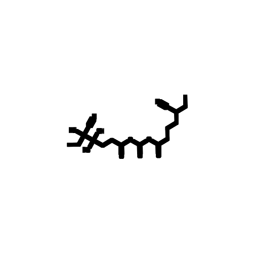 CCC(C#N)CCCC(=O)OC(=O)OC(=O)CCC(S)(S)C(S)(C#N)CC